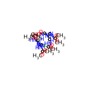 COc1ccc(CNc2nccc3c2c(-c2ccc(CNC(=O)c4cc(F)ccc4OC)cc2)nn3[C@@H]2CCC[C@@H](NC(=O)O)C2)c(OC)c1.COc1ccc(CNc2nccc3c2c(I)nn3[C@@H]2CCC[C@@H](NC(=O)OC(C)(C)C)C2)c(OC)c1